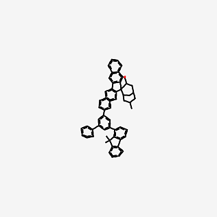 CC1CC2CC(C)C3(c4cc5ccccc5cc4-c4cc5ccc(-c6cc(-c7ccccc7)cc(-c7cccc8c7C(C)(C)c7ccccc7-8)c6)cc5cc43)C(C1)C2